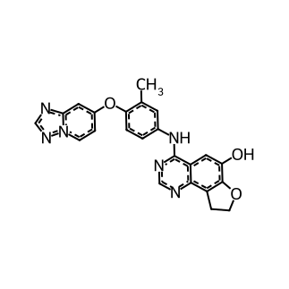 Cc1cc(Nc2ncnc3c4c(c(O)cc23)OCC4)ccc1Oc1ccn2ncnc2c1